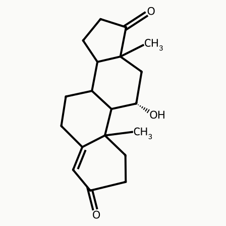 CC12C[C@H](O)C3C(CCC4=CC(=O)CCC43C)C1CCC2=O